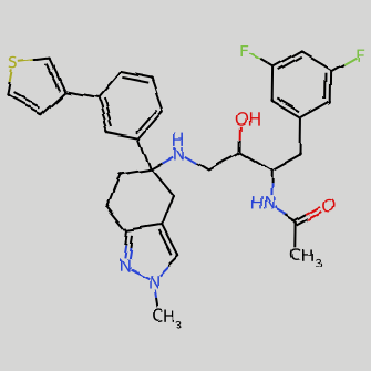 CC(=O)NC(Cc1cc(F)cc(F)c1)C(O)CNC1(c2cccc(-c3ccsc3)c2)CCc2nn(C)cc2C1